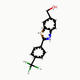 OCc1ccc2nc(-c3ccc(C(F)(F)F)cc3)sc2c1